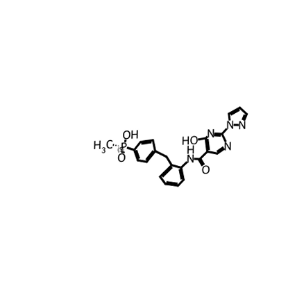 C[P@](=O)(O)c1ccc(Cc2ccccc2NC(=O)c2cnc(-n3cccn3)nc2O)cc1